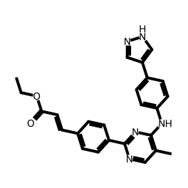 CCOC(=O)C=Cc1ccc(-c2ncc(C)c(Nc3ccc(-c4cn[nH]c4)cc3)n2)cc1